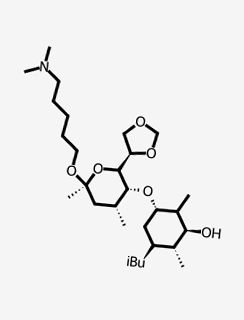 CC[C@H](C)C1C[C@H](O[C@H]2C([C@H]3COCO3)O[C@](C)(OCCCCCN(C)C)C[C@H]2C)C(C)[C@@H](O)[C@@H]1C